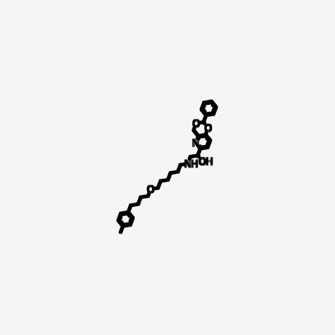 Cc1ccc(CCCCOCCCCCCNCC(O)c2ccc3c(n2)COC(c2ccccc2)O3)cc1